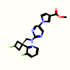 COC(=O)c1ccn(-c2cnc(NC[C@]3(c4ncccc4F)C[C@H](F)C3)nc2)c1